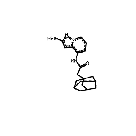 O=C(CC12CC3CC(CC(C3)C1)C2)Nc1cccn2n[c]([RaH])cc12